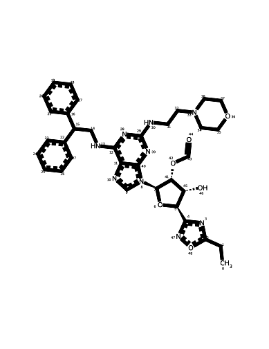 CCc1nc([C@H]2O[C@@H](n3cnc4c(NCC(c5ccccc5)c5ccccc5)nc(NCCN5CCOCC5)nc43)[C@H](OC=O)[C@@H]2O)no1